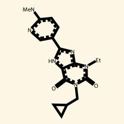 CCn1c(=O)n(CC2CC2)c(=O)c2[nH]c(-c3ccc(NC)nc3)nc21